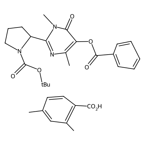 Cc1ccc(C(=O)O)c(C)c1.Cc1nc(C2CCCN2C(=O)OC(C)(C)C)n(C)c(=O)c1OC(=O)c1ccccc1